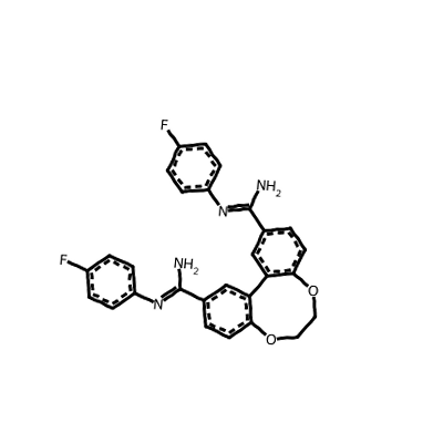 NC(=Nc1ccc(F)cc1)c1ccc2c(c1)-c1cc(C(N)=Nc3ccc(F)cc3)ccc1OCCO2